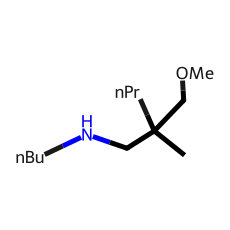 CCCCNCC(C)(CCC)COC